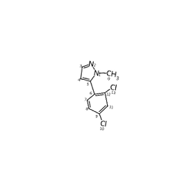 Cn1n[c]cc1-c1ccc(Cl)cc1Cl